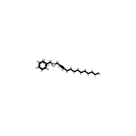 CCCCCCCCCCC#CCOCc1[c]cccc1